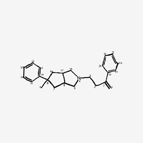 C=C(CCN1CC2CC(C)(c3ccccc3)CC2C1)c1ccccc1